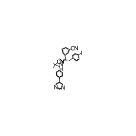 C[C@H](NC(c1ccc(-c2cncnc2)cc1)C(C)(C)C#N)[C@@H](Cc1ccc(I)cc1)c1cccc(C#N)c1